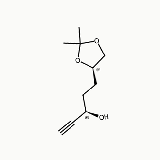 C#C[C@H](O)CC[C@@H]1COC(C)(C)O1